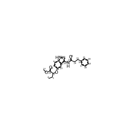 CCC(Oc1ccc2[nH]nc(NC(=O)CCc3ccccc3)c2c1)C(=O)OC